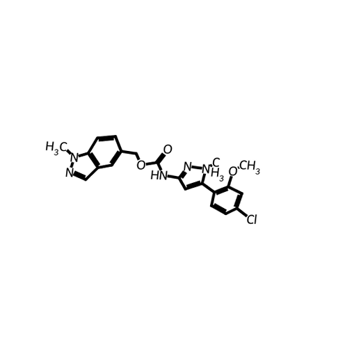 COc1cc(Cl)ccc1-c1cc(NC(=O)OCc2ccc3c(cnn3C)c2)nn1C